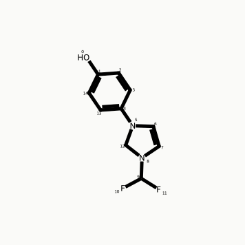 Oc1ccc(N2C=CN(C(F)F)C2)cc1